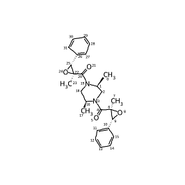 C[C@H]1CN(C(=O)[C@@]2(C)O[C@@H]2c2ccccc2)[C@@H](C)CN1C(=O)[C@@]1(C)O[C@@H]1c1ccccc1